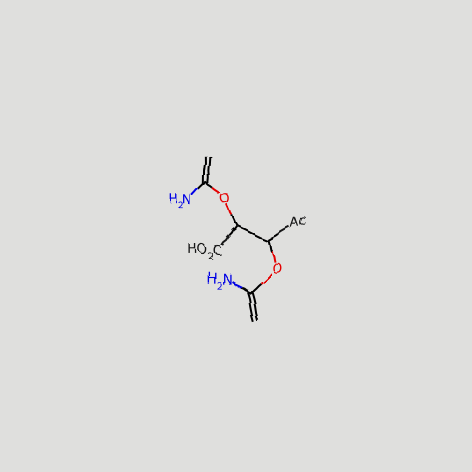 C=C(N)OC(C(C)=O)C(OC(=C)N)C(=O)O